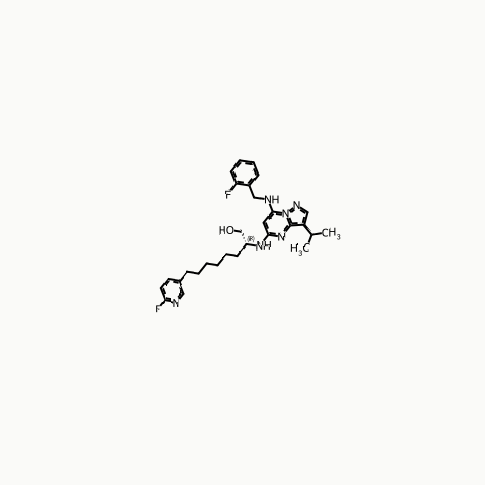 CC(C)c1cnn2c(NCc3ccccc3F)cc(N[C@@H](CO)CCCCCCc3ccc(F)nc3)nc12